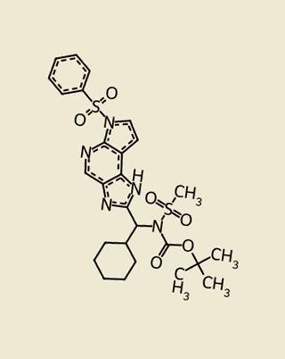 CC(C)(C)OC(=O)N(C(c1nc2cnc3c(ccn3S(=O)(=O)c3ccccc3)c2[nH]1)C1CCCCC1)S(C)(=O)=O